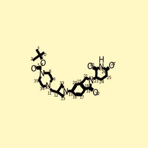 CC(C)(C)OC(=O)N1CCN(CC2CN(c3ccc4c(c3)CN(C3CCC(=O)NC3=O)C4=O)C2)CC1